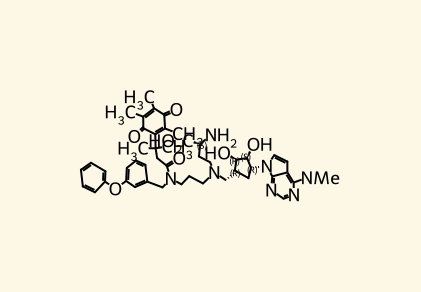 CNc1ncnc2c1ccn2[C@@H]1C[C@H](CN(CCCN(Cc2cccc(Oc3ccccc3)c2)C(=O)CC(C)(C)C2=C(C)C(=O)C(C)=C(C)C2=O)CC[C@H](N)C(=O)O)[C@@H](O)[C@H]1O